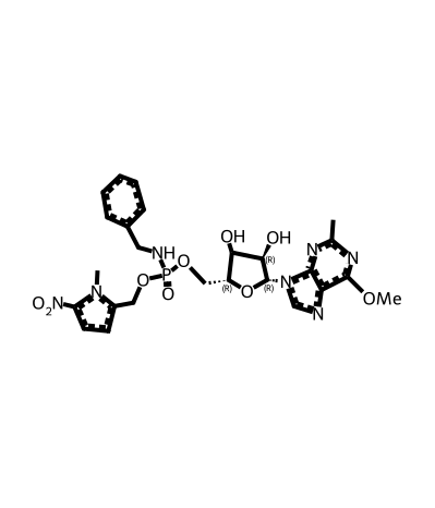 COc1nc(C)nc2c1ncn2[C@@H]1O[C@H](COP(=O)(NCc2ccccc2)OCc2ccc([N+](=O)[O-])n2C)C(O)[C@H]1O